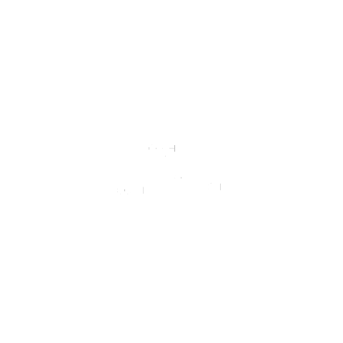 C=COCC(CC(=O)O)C(=O)O